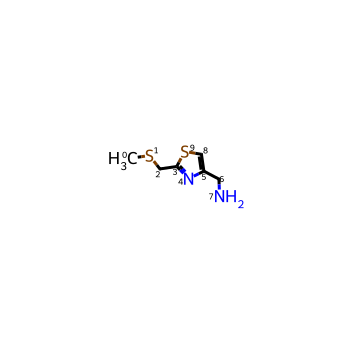 CSCc1nc(CN)cs1